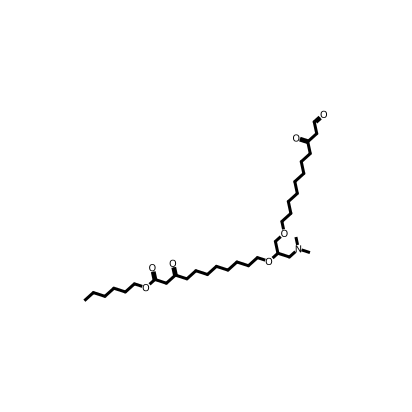 CCCCCCOC(=O)CC(=O)CCCCCCCCOC(COCCCCCCCCC(=O)CC=O)CN(C)C